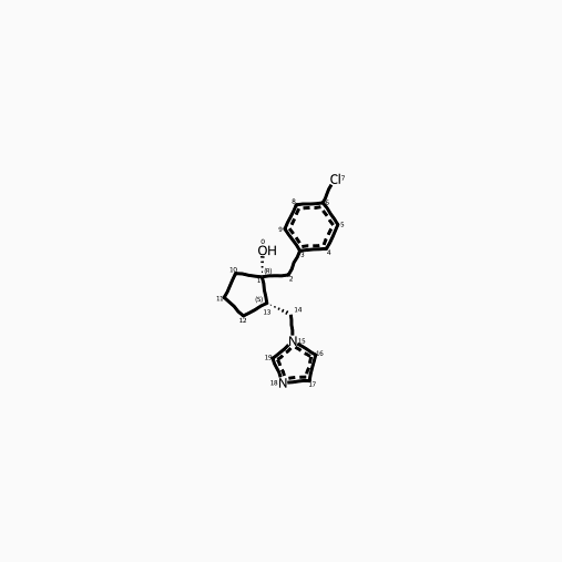 O[C@@]1(Cc2ccc(Cl)cc2)CCC[C@H]1Cn1ccnc1